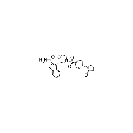 NC(=O)c1sc2ccccc2c1C1CN(S(=O)(=O)c2ccc(N3CCCC3=O)cc2)CCO1